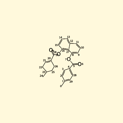 Cc1ccc(C(=O)Oc2cccc3cccc(OC(=O)C4=CCC(C)CC4)c23)cc1